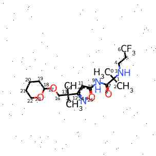 CC(C)(NCCC(F)(F)F)C(=O)Nc1cc(C(C)(C)COC2CCCCO2)no1